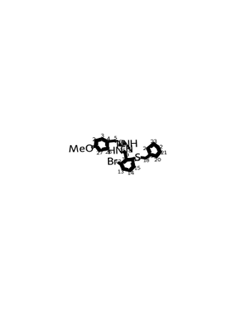 COc1ccc(CN2NN=C(c3c(Br)cccc3SCc3ccccc3)N2)cc1